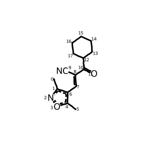 Cc1noc(C)c1/C=C(\C#N)C(=O)C1CCCCC1